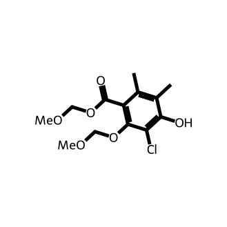 COCOC(=O)c1c(C)c(C)c(O)c(Cl)c1OCOC